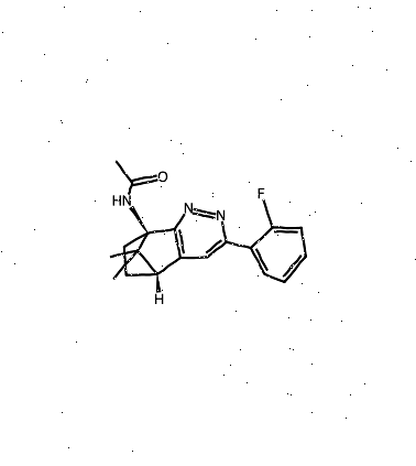 CC(=O)N[C@@]12CC[C@@H](c3cc(-c4ccccc4F)nnc31)C2(C)C